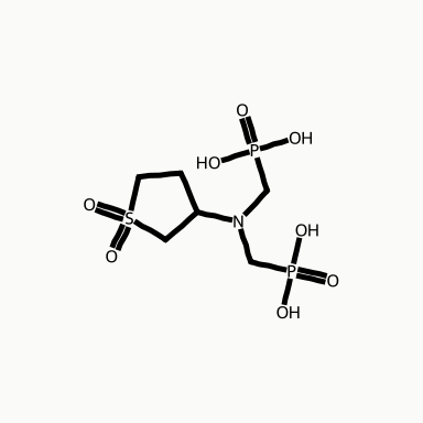 O=P(O)(O)CN(CP(=O)(O)O)C1CCS(=O)(=O)C1